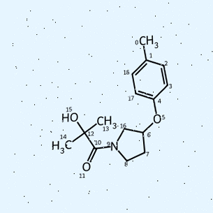 Cc1ccc(OC2CCN(C(=O)C(C)(C)O)C2)cc1